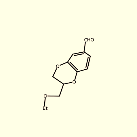 CCOCC1COc2cc(C=O)ccc2O1